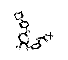 CC(C)(C)OC(=O)Nc1cccc(Nc2nc(Nc3ccc(N4CCOCC4)cc3)ncc2N)c1